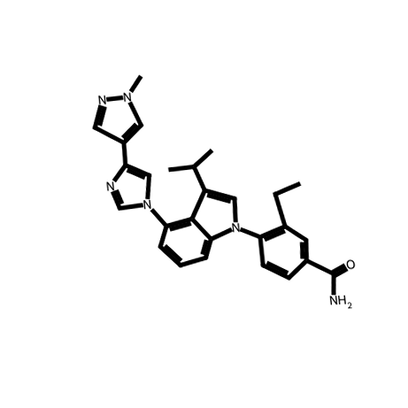 CCc1cc(C(N)=O)ccc1-n1cc(C(C)C)c2c(-n3cnc(-c4cnn(C)c4)c3)cccc21